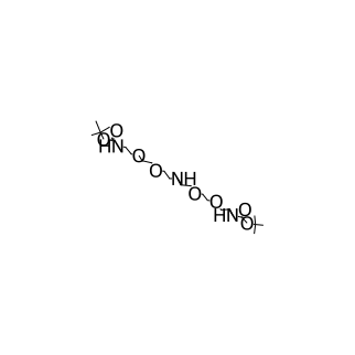 CC(C)(C)OC(=O)NCCOCCOCCNCCOCCOCCNC(=O)OC(C)(C)C